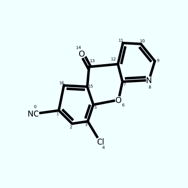 N#Cc1cc(Cl)c2oc3ncccc3c(=O)c2c1